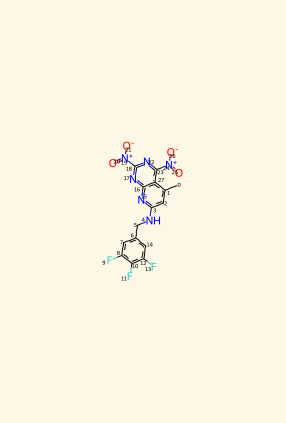 Cc1cc(NCc2cc(F)c(F)c(F)c2)nc2nc([N+](=O)[O-])nc([N+](=O)[O-])c12